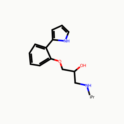 CC(C)NCC(O)COc1ccccc1-c1ccc[nH]1